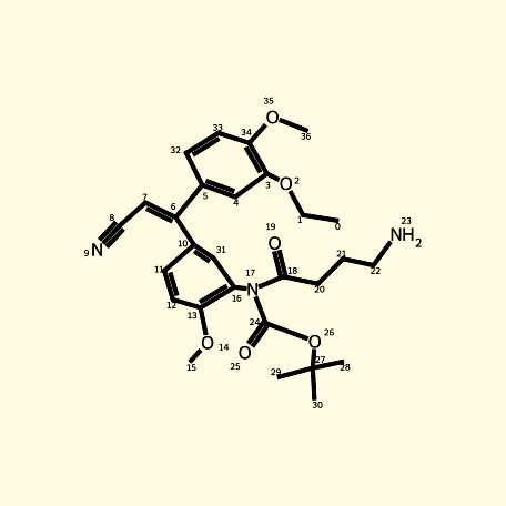 CCOc1cc(C(=CC#N)c2ccc(OC)c(N(C(=O)CCCN)C(=O)OC(C)(C)C)c2)ccc1OC